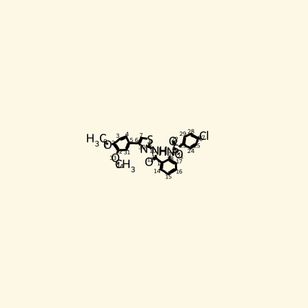 COc1ccc(-c2csc(NC(=O)c3ccccc3NS(=O)(=O)c3ccc(Cl)cc3)n2)cc1OC